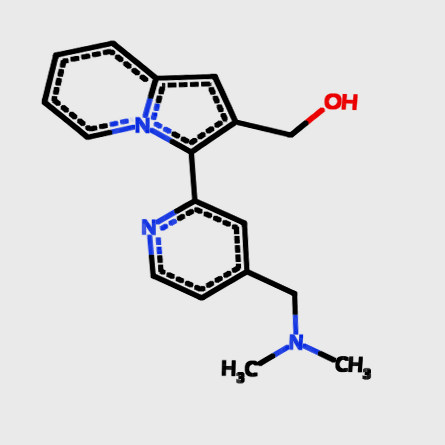 CN(C)Cc1ccnc(-c2c(CO)cc3ccccn23)c1